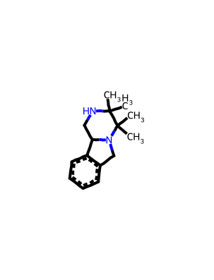 CC1(C)NCC2c3ccccc3CN2C1(C)C